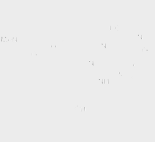 CNCC(O)COc1cccc(-c2nc(N[C@H]3CCC[C@@H](O)C3)c(C)c(-c3c(C)noc3C)n2)c1